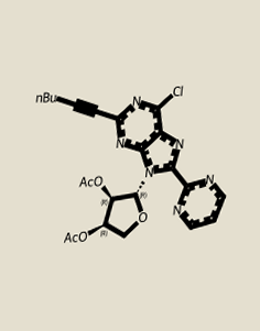 CCCCC#Cc1nc(Cl)c2nc(-c3ncccn3)n([C@@H]3OC[C@@H](OC(C)=O)[C@H]3OC(C)=O)c2n1